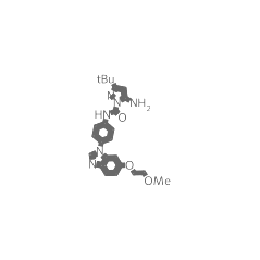 COCCOc1ccc2ncn(-c3ccc(NC(=O)n4nc(C(C)(C)C)cc4N)cc3)c2c1